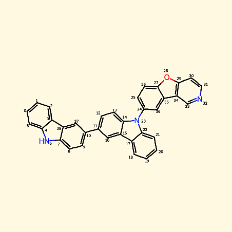 c1ccc2c(c1)[nH]c1ccc(-c3ccc4c(c3)c3ccccc3n4-c3ccc4oc5ccncc5c4c3)cc12